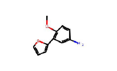 COc1ccc(N)cc1-c1ccco1